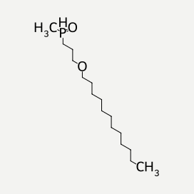 CCCCCCCCCCCCOCCC[PH](C)=O